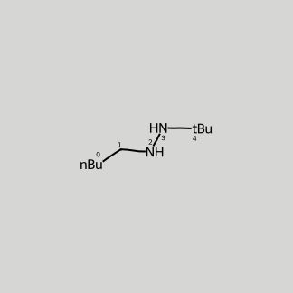 CCCCCNNC(C)(C)C